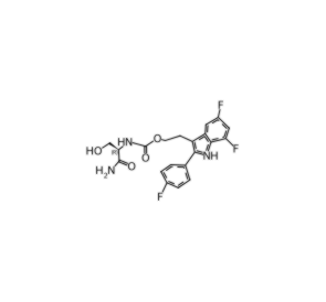 NC(=O)[C@@H](CO)NC(=O)OCCc1c(-c2ccc(F)cc2)[nH]c2c(F)cc(F)cc12